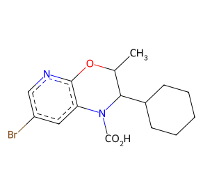 CC1Oc2ncc(Br)cc2N(C(=O)O)C1C1CCCCC1